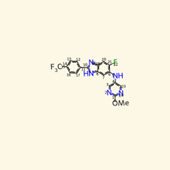 COc1ncc(Nc2cc3[nH]c(-c4ccc(C(F)(F)F)cc4)nc3cc2F)cn1